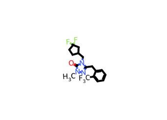 Cn1nc(Cc2ccccc2C(F)(F)F)n(CC2CCC(F)(F)C2)c1=O